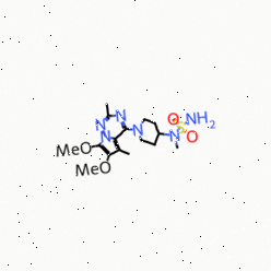 COc1c(C)c2c(N3CCC(N(C)S(N)(=O)=O)CC3)nc(C)nn2c1OC